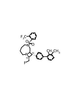 Cc1cccc(-c2ccc([C@H]3C4CN(S(=O)(=O)c5ccccc5C(F)(F)F)CCCCN4[C@@H]3CF)cc2)c1C